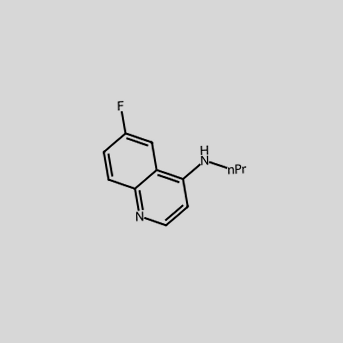 CCCNc1ccnc2ccc(F)cc12